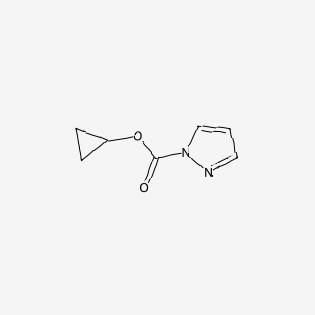 O=C(OC1CC1)n1cccn1